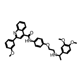 COc1cccc(-c2cc(C(=O)Nc3ccc(OCCNC(C)c4ccc(OC)c(OC)c4)cc3)c3ccccc3n2)c1